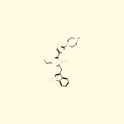 CCCOC(Cc1c[nH]c2ccccc12)NC(=O)c1cnc(N2CCN(C)CC2)s1